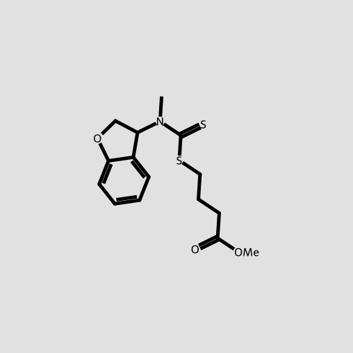 COC(=O)CCCSC(=S)N(C)C1COc2ccccc21